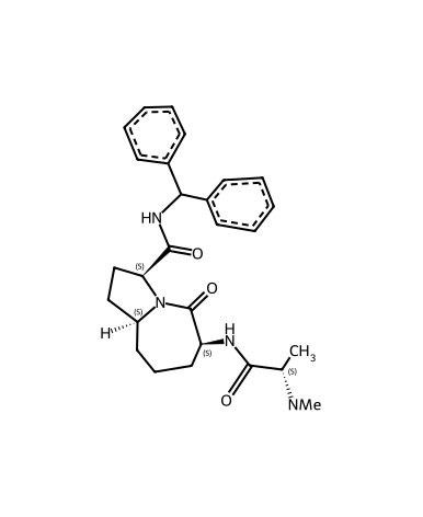 CN[C@@H](C)C(=O)N[C@H]1CCC[C@H]2CC[C@@H](C(=O)NC(c3ccccc3)c3ccccc3)N2C1=O